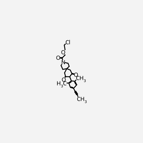 CC#Cc1cc(C)c(C2C(=O)CC3(CCN(C(=O)COCCCl)CC3)CC2=O)c(C)c1